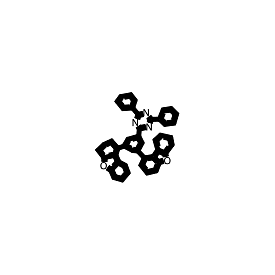 c1ccc(-c2nc(-c3ccccc3)nc(-c3cc(-c4cccc5oc6ccccc6c45)cc(-c4cccc5oc6ccccc6c45)c3)n2)cc1